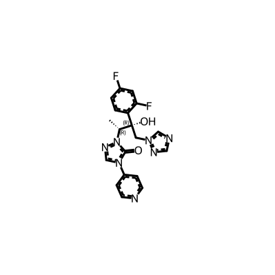 C[C@@H](n1ncn(-c2ccncc2)c1=O)[C@](O)(Cn1cncn1)c1ccc(F)cc1F